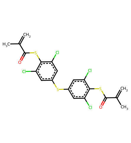 C=C(C)C(=O)Sc1c(Cl)cc(Sc2cc(Cl)c(SC(=O)C(=C)C)c(Cl)c2)cc1Cl